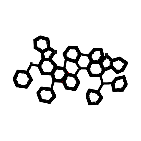 c1ccc(Sc2cc(N(c3ccccc3)c3cccc(N(c4cc(N(c5ccccc5)c5ccccc5)c5c(c4)oc4ccccc45)c4c(-c5ccccc5)cccc4-c4ccccc4)c3)cc3oc4ccccc4c23)cc1